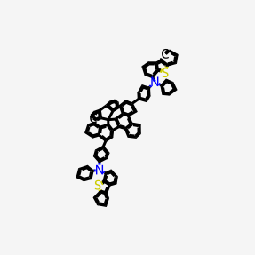 c1ccc(N(c2ccc(-c3ccc4c5c(c6ccccc6c4c3)-c3cc(-c4ccc(N(c6ccccc6)c6cccc7c6sc6ccccc67)cc4)c4ccccc4c3C53c4ccccc4-c4ccccc43)cc2)c2cccc3c2sc2ccccc23)cc1